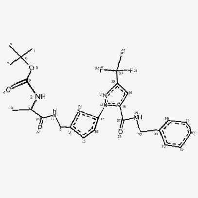 CC(NC(=O)OC(C)(C)C)C(=O)NCc1ccc(-n2nc(C(F)(F)F)cc2C(=O)NCc2ccccc2)s1